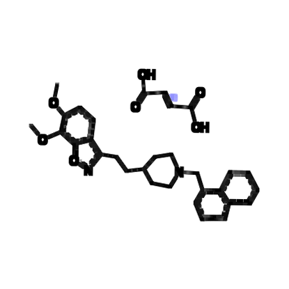 COc1ccc2c(CCC3CCN(Cc4cccc5ccccc45)CC3)noc2c1OC.O=C(O)/C=C/C(=O)O